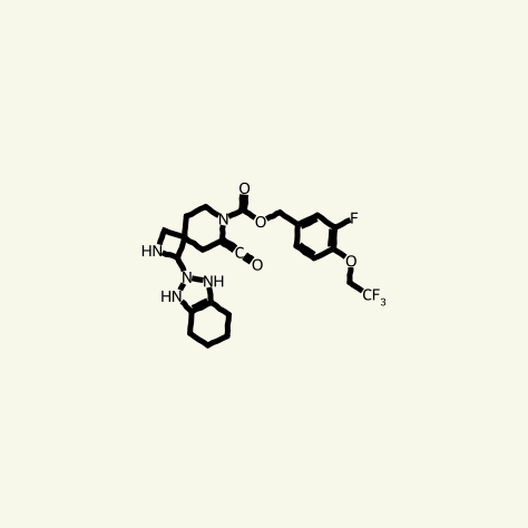 O=C=C1CC2(CCN1C(=O)OCc1ccc(OCC(F)(F)F)c(F)c1)CNC2N1NC2=C(CCCC2)N1